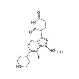 Cl.Cl.Cn1nc(C2CCC(=O)NC2=O)c2ccc(C3CCNCC3)c(F)c21